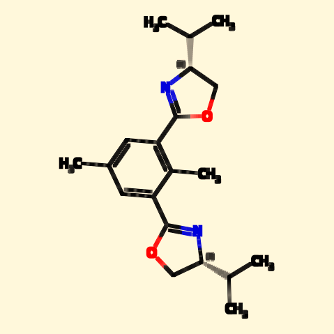 Cc1cc(C2=N[C@H](C(C)C)CO2)c(C)c(C2=N[C@H](C(C)C)CO2)c1